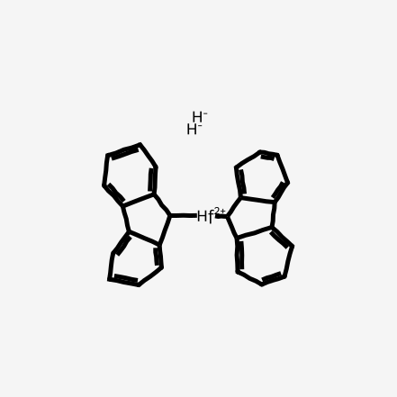 [H-].[H-].c1ccc2c(c1)-c1ccccc1[CH]2[Hf+2][CH]1c2ccccc2-c2ccccc21